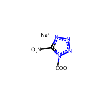 O=C([O-])n1nnnc1[N+](=O)[O-].[Na+]